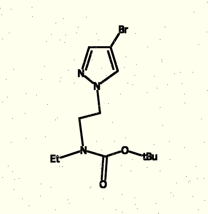 CCN(CCn1cc(Br)cn1)C(=O)OC(C)(C)C